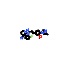 COc1cc(C=Cc2nc3n(n2)CCCC3(C#N)c2cccc(F)c2)ccc1-n1cnc(C)c1